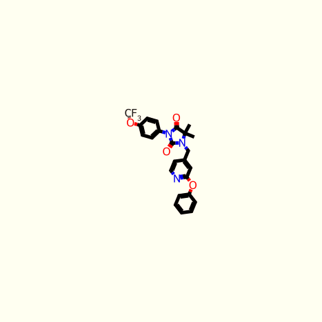 CC1(C)C(=O)N(c2ccc(OC(F)(F)F)cc2)C(=O)N1Cc1ccnc(Oc2ccccc2)c1